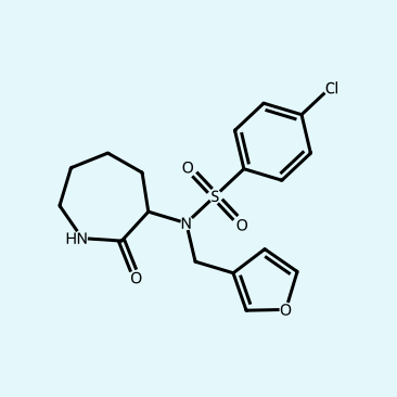 O=C1NCCCCC1N(Cc1ccoc1)S(=O)(=O)c1ccc(Cl)cc1